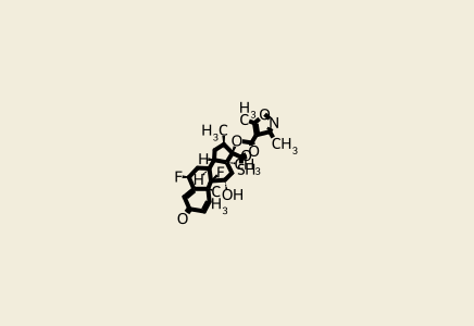 Cc1noc(C)c1C(=O)O[C@]1(C(=O)S)[C@H](C)C[C@H]2[C@@H]3C[C@H](F)C4=CC(=O)C=C[C@]4(C)[C@@]3(F)[C@@H](O)C[C@@]21C